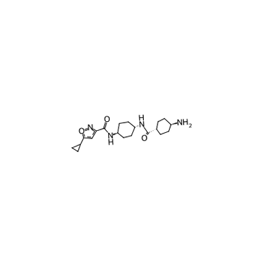 N[C@H]1CC[C@H](C(=O)N[C@H]2CC[C@H](NC(=O)c3cc(C4CC4)on3)CC2)CC1